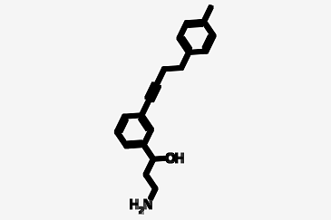 Cc1ccc(CCC#Cc2cccc(C(O)CCN)c2)cc1